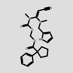 CN(Cc1ccc[nH]1)/C(=C\C#N)N(C)C(=O)OCOC(=O)C1(c2ccccc2)CCCC1